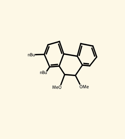 CCCCc1ccc2c(c1CCCC)C(OC)C(OC)c1ccccc1-2